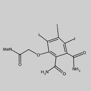 CNC(=O)COc1c(I)c(I)c(I)c(C(N)=O)c1C(N)=O